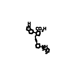 O=C(O)c1cccc(CC#Cc2cccc(NSc3cccs3)c2)c1-c1ccc2cc[nH]c2c1